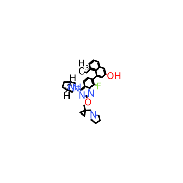 CCc1cccc2cc(O)cc(-c3ccc4c(N5C[C@H]6CC[C@@H](C5)N6)nc(OCC5(CN6CCCC6)CC5)nc4c3F)c12